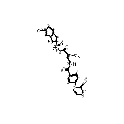 CC(CNC(=O)c1ccc(-n2ccncc2=O)cc1)C(=O)NS(=O)(=O)c1cc2ccc(Cl)cc2[nH]1